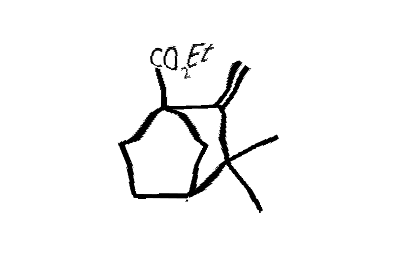 C=C1C(C)(C)[C]2CCC1(C(=O)OCC)C2